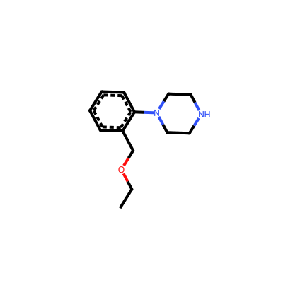 CCOCc1ccccc1N1CCNCC1